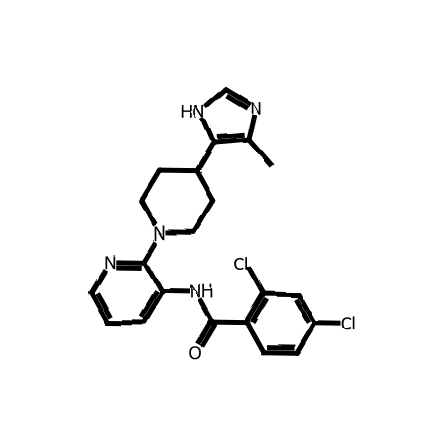 Cc1nc[nH]c1C1CCN(c2ncccc2NC(=O)c2ccc(Cl)cc2Cl)CC1